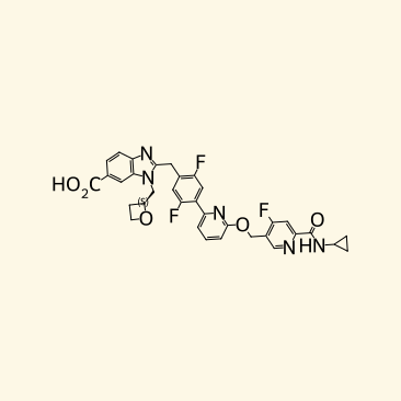 O=C(O)c1ccc2nc(Cc3cc(F)c(-c4cccc(OCc5cnc(C(=O)NC6CC6)cc5F)n4)cc3F)n(C[C@@H]3CCO3)c2c1